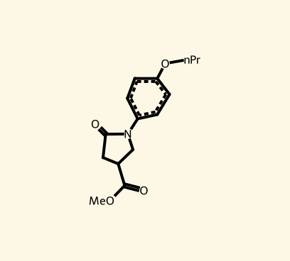 CCCOc1ccc(N2CC(C(=O)OC)CC2=O)cc1